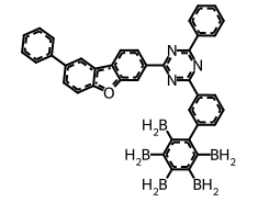 Bc1c(B)c(B)c(-c2cccc(-c3nc(-c4ccccc4)nc(-c4ccc5c(c4)oc4ccc(-c6ccccc6)cc45)n3)c2)c(B)c1B